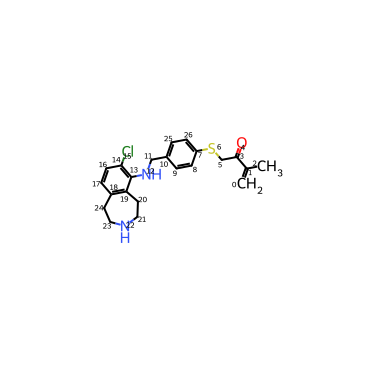 C=C(C)C(=O)CSc1ccc(CNc2c(Cl)ccc3c2CCNCC3)cc1